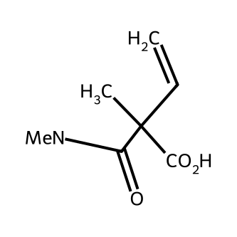 C=CC(C)(C(=O)O)C(=O)NC